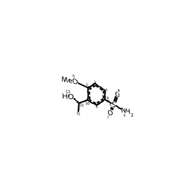 COc1ccc(S(N)(=O)=O)cc1C(C)O